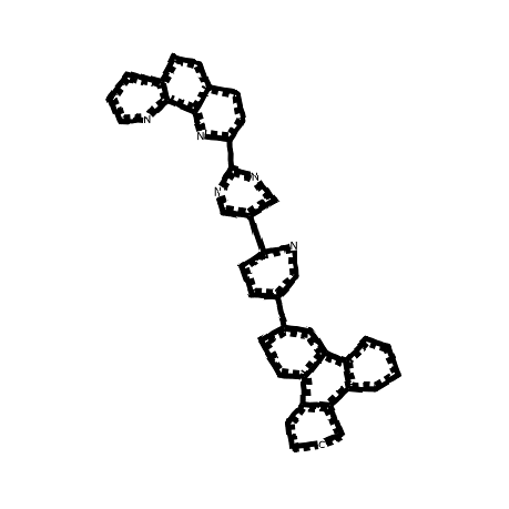 c1cnc2c(c1)ccc1ccc(-c3ncc(-c4ccc(-c5ccc6c7ccccc7c7ccccc7c6c5)cn4)cn3)nc12